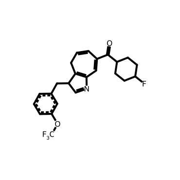 O=C(C1=CC2=C(CC=C1)C(Cc1cccc(OC(F)(F)F)c1)C=N2)C1CCC(F)CC1